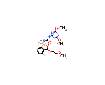 COCCOC(=O)c1c(F)cccc1S(=O)(=O)NC(=O)Nc1nc(OC)nc(OC)n1